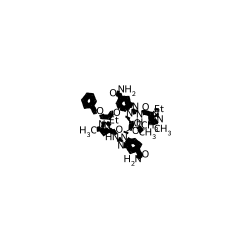 CCn1nc(C)cc1C(=O)Nc1nc2cc(C(N)=O)ccc2n1C[C@H]1OC(C)(C)O[C@@H]1Cn1c(NC(=O)c2cc(C)nn2CC)nc2cc(C(N)=O)cc(OCCCOCc3ccccc3)c21